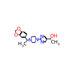 C[C@@H](O)c1cnc(N2CCN([C@@H](C)c3ccc4c(c3)OCO4)CC2)nc1